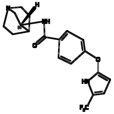 O=C(N[C@H]1CN2CCC1CC2)c1ccc(Oc2ccc(C(F)(F)F)[nH]2)cc1